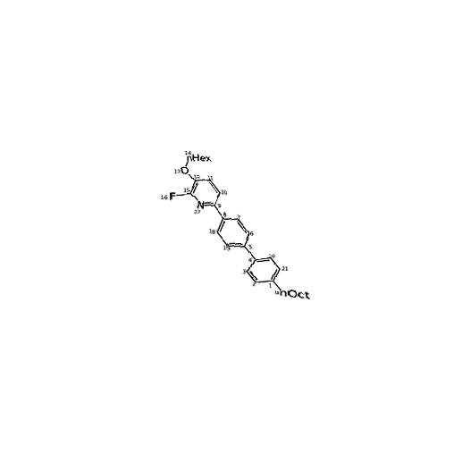 CCCCCCCCc1ccc(-c2ccc(-c3ccc(OCCCCCC)c(F)n3)cc2)cc1